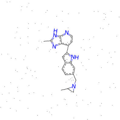 Cc1nc2c(-c3cc4ccc(CN5CC5C)cc4[nH]3)ccnc2[nH]1